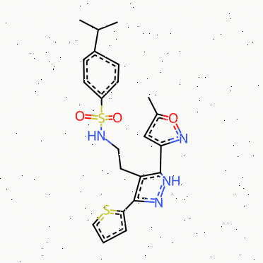 Cc1cc(-c2[nH]nc(-c3cccs3)c2CCNS(=O)(=O)c2ccc(C(C)C)cc2)no1